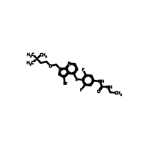 CCNC(=O)Nc1cc(F)c(Sc2ccnc3c2c(Br)cn3COCC[Si](C)(C)C)c(F)c1